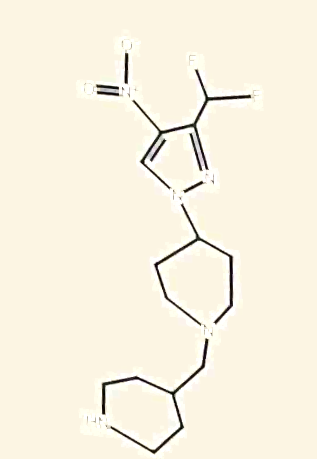 O=[N+]([O-])c1cn(C2CCN(CC3CCNCC3)CC2)nc1C(F)F